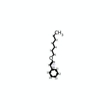 CCCCCCCO/C=C/c1ccccc1